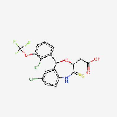 O=C(O)CC1OC(c2cccc(OC(F)(F)F)c2Cl)c2cc(Cl)ccc2NC1=S